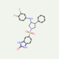 O=c1[nH]c2ccc(S(=O)(=O)N3CC(Nc4ccc(F)c(F)c4)C(c4ccccc4)C3)cc2[nH]1